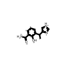 CC(c1c[nH]cn1)c1cccc(C(N)=O)c1O